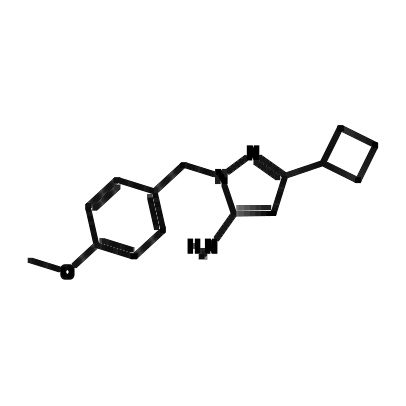 COc1ccc(Cn2nc(C3CCC3)cc2N)cc1